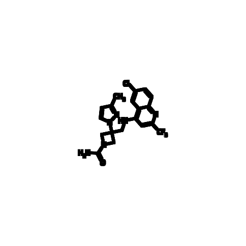 Cc1ccn(C2(CNc3cc(C(F)(F)F)nc4ccc(Cl)cc34)CN(C(N)=O)C2)n1